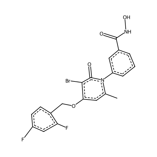 Cc1cc(OCc2ccc(F)cc2F)c(Br)c(=O)n1-c1cccc(C(=O)NO)c1